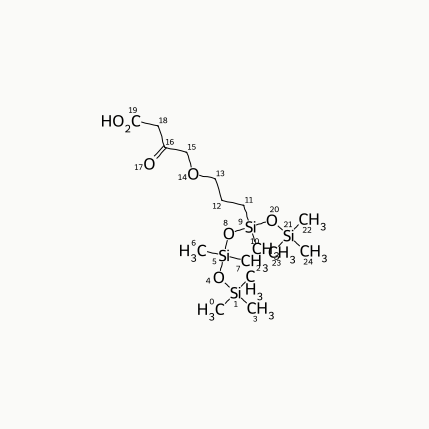 C[Si](C)(C)O[Si](C)(C)O[Si](C)(CCCOCC(=O)CC(=O)O)O[Si](C)(C)C